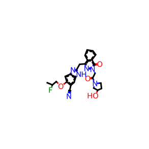 CC(F)COc1cc2nc(Cc3nn(CC(=O)N4CCC(O)C4)c(=O)c4ccccc34)[nH]c2cc1C#N